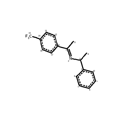 C/C(=N\C(C)c1ccccc1)c1ccc(C(F)(F)F)cc1